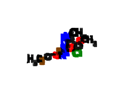 COc1ccc(Cl)cc1-c1cc(C)ncc1C(=O)Nc1nnc(OCc2ccc(SC)cc2)s1